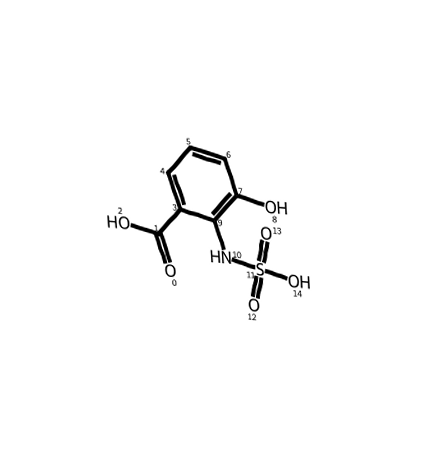 O=C(O)c1cccc(O)c1NS(=O)(=O)O